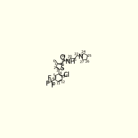 Cc1cc(-c2cc(C(F)(F)F)ccc2Cl)sc1C(=O)NCCCN1CCCC1